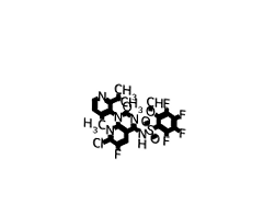 COc1c(F)c(F)c(F)c(F)c1S(=O)(=O)Nc1nc(=O)n(-c2c(C)ccnc2C(C)C)c2nc(Cl)c(F)cc12